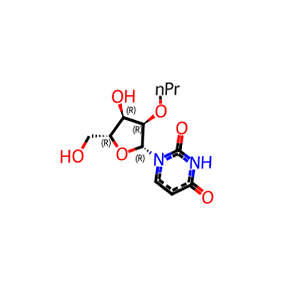 CCCO[C@@H]1[C@H](O)[C@@H](CO)O[C@H]1n1ccc(=O)[nH]c1=O